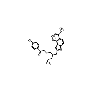 CCCC(CCCC(=O)c1ccc(Cl)cc1)Cn1cc2c(OC)c(C(=O)OC)ccc2n1